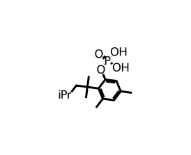 Cc1cc(C)c(C(C)(C)CC(C)C)c(OP(=O)(O)O)c1